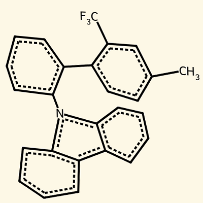 Cc1ccc(-c2ccccc2-n2c3ccccc3c3ccccc32)c(C(F)(F)F)c1